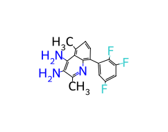 Cc1nc2c(-c3cc(F)cc(F)c3F)ccc(C)c2c(N)c1N